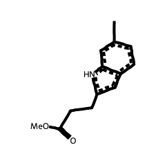 COC(=O)CCc1cc2ccc(C)cc2[nH]1